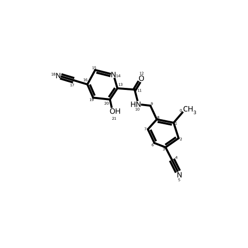 Cc1cc(C#N)ccc1CNC(=O)c1ncc(C#N)cc1O